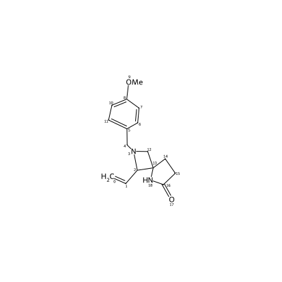 C=CC1N(Cc2ccc(OC)cc2)CC12CCC(=O)N2